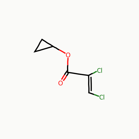 O=C(OC1CC1)C(Cl)=CCl